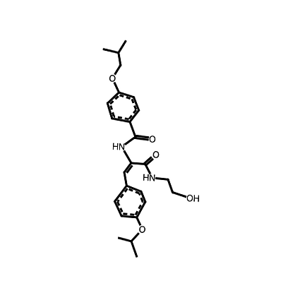 CC(C)COc1ccc(C(=O)NC(=Cc2ccc(OC(C)C)cc2)C(=O)NCCO)cc1